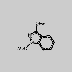 COc1nn(OC)c2ccccc12